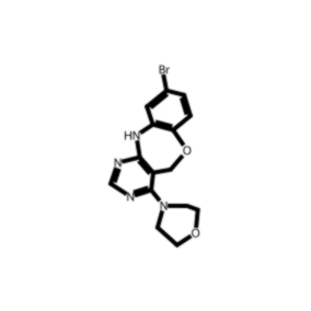 Brc1ccc2c(c1)Nc1ncnc(N3CCOCC3)c1CO2